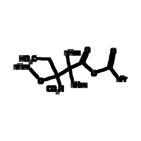 CCCCCCOC(CC(=O)O)(C(=O)O)C(CCCCCC)(CCCCCC)C(=O)OC(=O)CCC